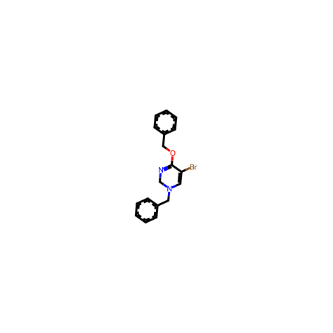 BrC1=CN(Cc2ccccc2)CN=C1OCc1ccccc1